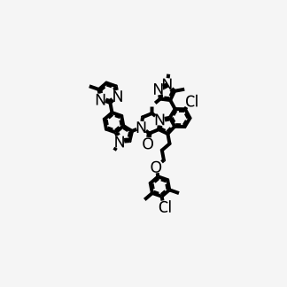 Cc1ccnc(-c2ccc3c(c2)c(N2CC(C)n4c(c(CCCOc5cc(C)c(Cl)c(C)c5)c5ccc(Cl)c(-c6c(C)nn(C)c6C)c54)C2=O)cn3C)n1